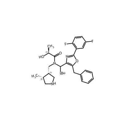 C[C@H](O)C(=O)N(C[C@@H]1CNC[C@@H]1C)C(c1nc(-c2cc(F)ccc2F)oc1Cc1ccccc1)C(C)(C)C